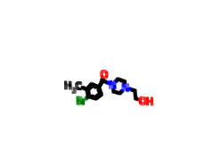 Cc1cc(C(=O)N2CCN(CCO)CC2)ccc1Br